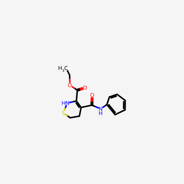 CCOC(=O)C1=C(C(=O)Nc2ccccc2)CCSN1